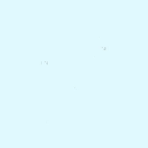 O=c1cc(C2CCNC(c3ccc(F)cc3Cl)C2)o[nH]1